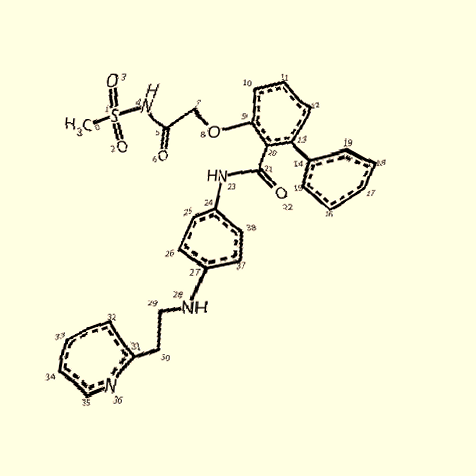 CS(=O)(=O)NC(=O)COc1cccc(-c2ccccc2)c1C(=O)Nc1ccc(NCCc2ccccn2)cc1